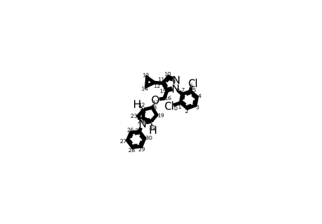 Clc1cccc(Cl)c1-n1ncc(C2CC2)c1CO[C@@H]1C[C@@H]2C[C@H]1CN2c1ccccc1